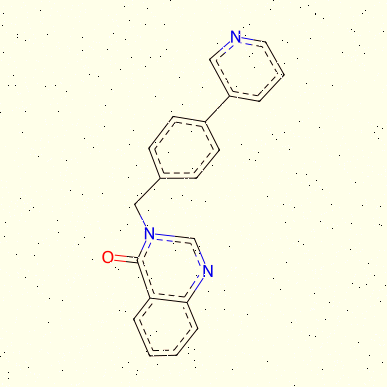 O=c1c2ccccc2ncn1Cc1ccc(-c2cccnc2)cc1